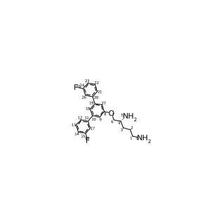 NCCC[C@@H](N)COc1cc(-c2cccc(F)c2)cc(-c2cccc(F)c2)c1